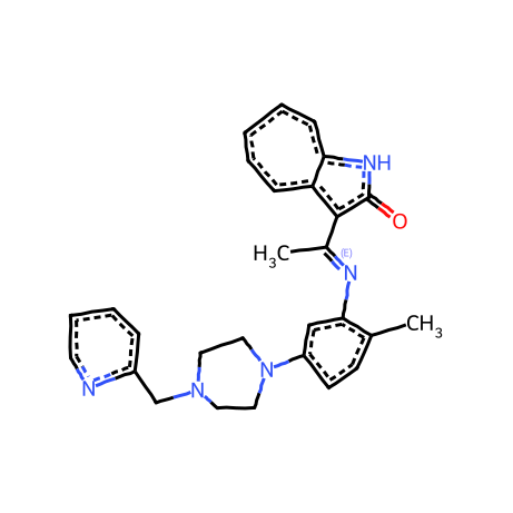 C/C(=N\c1cc(N2CCN(Cc3ccccn3)CC2)ccc1C)c1c2cccccc-2[nH]c1=O